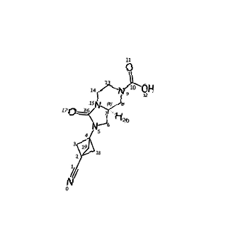 N#CC12CC(N3C[C@@H]4CN(C(=O)O)CCN4C3=O)(C1)C2